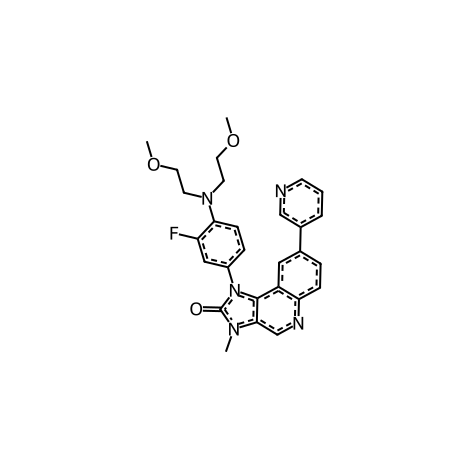 COCCN(CCOC)c1ccc(-n2c(=O)n(C)c3cnc4ccc(-c5cccnc5)cc4c32)cc1F